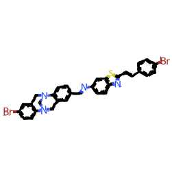 Brc1ccc(/C=C/c2nc3ccc(/N=C/c4ccc5c(c4)CN4CN5Cc5cc(Br)ccc54)cc3s2)cc1